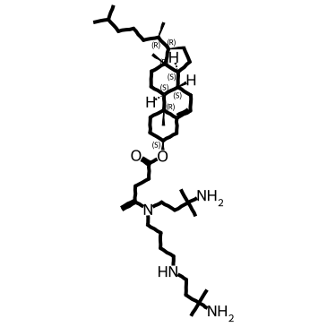 C=C(CCC(=O)O[C@H]1CC[C@@]2(C)C(=CC[C@H]3[C@@H]4CC[C@H]([C@H](C)CCCC(C)C)[C@@]4(C)CC[C@@H]32)C1)N(CCCCNCCC(C)(C)N)CCC(C)(C)N